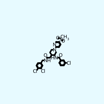 CS(=O)(=O)c1ccc(N2CCC(CC(=O)NCc3ccc(Cl)c(Cl)c3)C(NC(=O)c3cccc(Cl)c3)C2)nc1